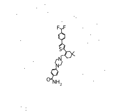 CC1(C)CCC(CN2CCN(c3ccc(C(N)=O)cc3)CC2)=C(c2cc(-c3ccc(C(F)F)cc3)cs2)C1